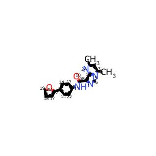 Cc1cc(C)n2cnc(C(=O)Nc3ccc(-c4ccco4)cc3)c2n1